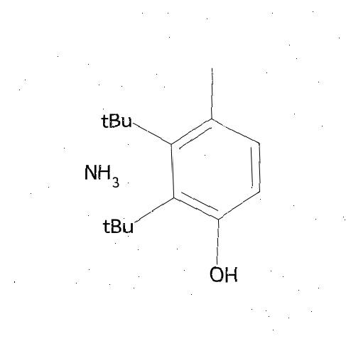 Cc1ccc(O)c(C(C)(C)C)c1C(C)(C)C.N